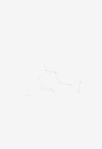 CCOc1cc(OCC)nc(C2CC2)n1